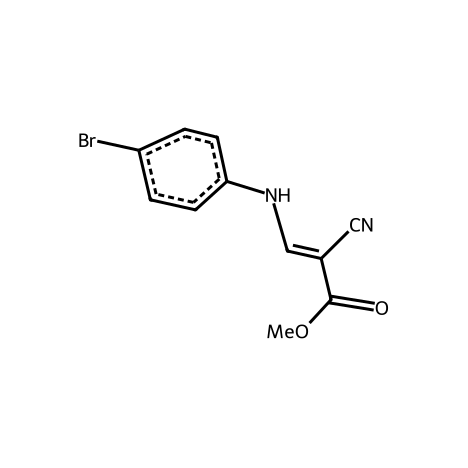 COC(=O)/C(C#N)=C/Nc1ccc(Br)cc1